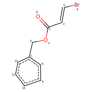 O=C(C=CBr)OCc1ccccc1